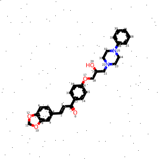 O=C(/C=C/c1ccc2c(c1)OCO2)c1ccc(OCC(O)CN2CCN(c3ccccc3)CC2)cc1